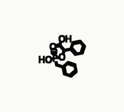 O=C(O)C(OP(=O)(O)Cc1ccccc1)c1ccccc1